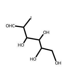 O=CC(I)C(O)C(O)C(O)CO